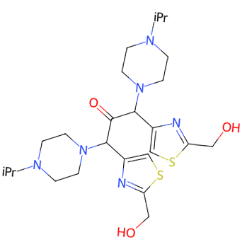 CC(C)N1CCN(C(C(=O)C(c2csc(CO)n2)N2CCN(C(C)C)CC2)c2csc(CO)n2)CC1